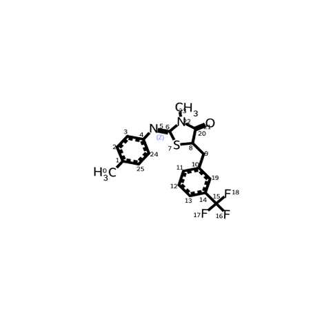 Cc1ccc(/N=C2\SC(Cc3cccc(C(F)(F)F)c3)C(=O)N2C)cc1